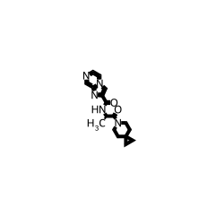 C[C@@H](NC(=O)c1cn2ccncc2n1)C(=O)N1CCC2(CC1)CC2